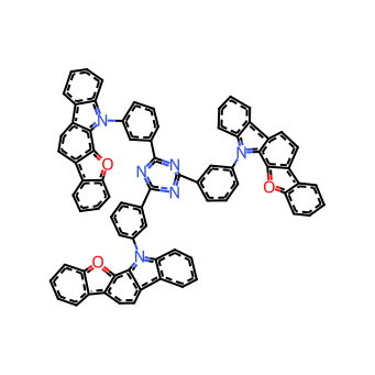 c1cc(-c2nc(-c3cccc(-n4c5ccccc5c5ccc6c7ccccc7oc6c54)c3)nc(-c3cccc(-n4c5ccccc5c5ccc6c7ccccc7oc6c54)c3)n2)cc(-n2c3ccccc3c3ccc4c5ccccc5oc4c32)c1